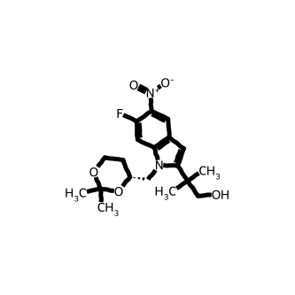 CC1(C)OCC[C@H](Cn2c(C(C)(C)CO)cc3cc([N+](=O)[O-])c(F)cc32)O1